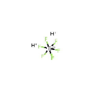 [F][Ti-2]([F])([F])([F])([F])[F].[H+].[H+]